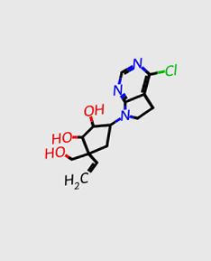 C=CC1(CO)CC(N2CCc3c(Cl)ncnc32)C(O)C1O